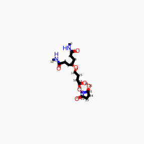 CNC(=O)CCC(CCC(=O)NC)OCCCC(=O)ON1C(=O)CCC1=O